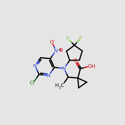 CC(N(c1nc(Cl)ncc1[N+](=O)[O-])C1CCC(F)(F)C1)C1(C(=O)O)CC1